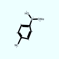 COB(O)c1ccc(C#N)cc1